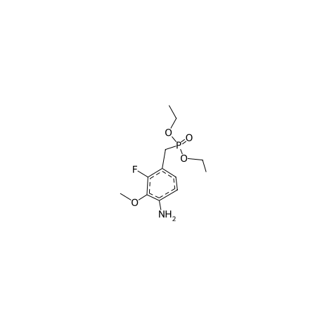 CCOP(=O)(Cc1ccc(N)c(OC)c1F)OCC